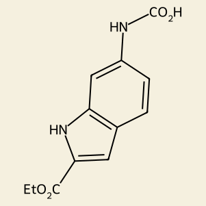 CCOC(=O)c1cc2ccc(NC(=O)O)cc2[nH]1